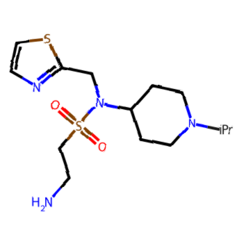 CC(C)N1CCC(N(Cc2nccs2)S(=O)(=O)CCN)CC1